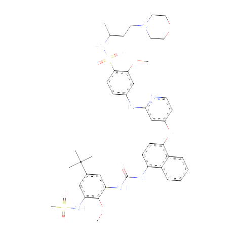 COc1cc(Nc2cc(Oc3ccc(NC(=O)Nc4cc(C(C)(C)C)cc(NS(C)(=O)=O)c4OC)c4ccccc34)ccn2)ccc1S(=O)(=O)NC(C)CCN1CCOCC1